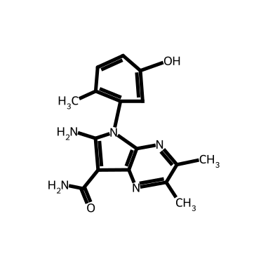 Cc1ccc(O)cc1-n1c(N)c(C(N)=O)c2nc(C)c(C)nc21